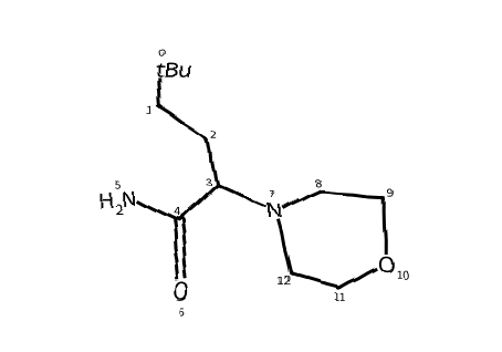 CC(C)(C)CCC(C(N)=O)N1CCOCC1